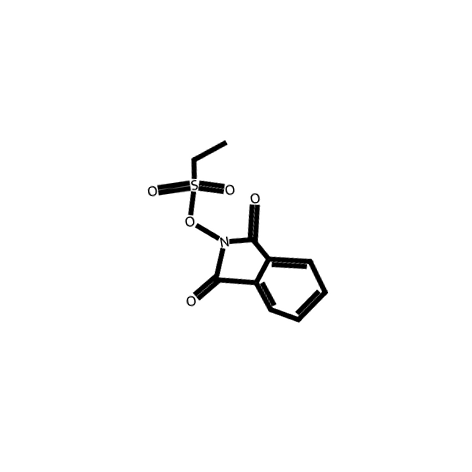 CCS(=O)(=O)ON1C(=O)c2ccccc2C1=O